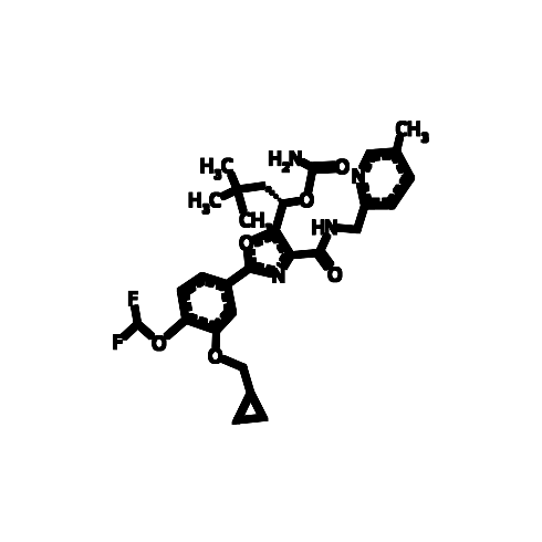 Cc1ccc(CNC(=O)c2nc(-c3ccc(OC(F)F)c(OCC4CC4)c3)oc2[C@H](CC(C)(C)C)OC(N)=O)nc1